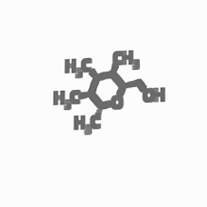 C[C@H]1[C@@H](C)[C@@H](CO)O[C@H](C)[C@H]1C